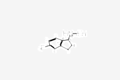 Fc1ccc2c(c1)CCC2NS